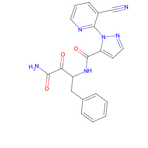 N#Cc1cccnc1-n1nccc1C(=O)NC(Cc1ccccc1)C(=O)C(N)=O